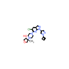 C[C@@]1(N2CCN(c3nc4c(cnn4-c4cnn(C56CC(C5)C6)c4)cc3Cl)CC2)COC[C@@H]1O